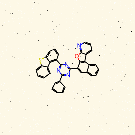 c1ccc(-c2nc(-c3cc4ccccc4c4c3oc3ncccc34)nc(-c3cccc4sc5ccccc5c34)n2)cc1